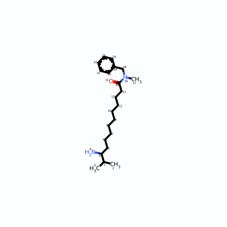 CC(C)C(N)CCCCCCCCCC(=O)N(C)Cc1ccccc1